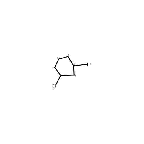 Cl[C]1CCCC(I)C1